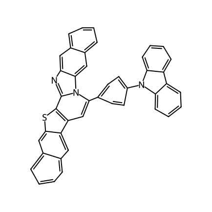 c1ccc2cc3c(cc2c1)nc1c2sc4cc5ccccc5cc4c2cc(-c2ccc(-n4c5ccccc5c5ccccc54)cc2)n31